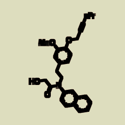 CCCC#CCOc1ccc(CCN(C(=O)CO)c2ccc3ccccc3c2)cc1OC